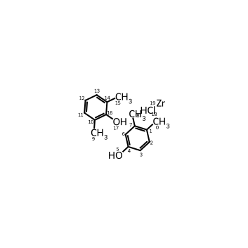 Cc1ccc(O)cc1C.Cc1cccc(C)c1O.Cl.[Zr]